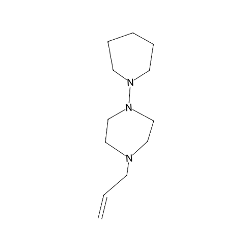 C=CCN1CCN(N2CCCCC2)CC1